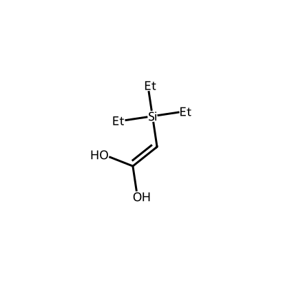 CC[Si](C=C(O)O)(CC)CC